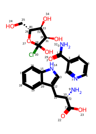 NC(=O)c1cccnc1.N[C@@H](Cc1c[nH]c2ccccc12)C(=O)O.OC[C@H]1OC(O)(Cl)[C@H](O)[C@@H]1O